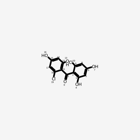 O=C(c1c(O)cc(O)cc1Cl)c1c(O)cc(O)cc1Cl